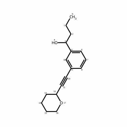 CCCC(O)c1cccc(C#CC2CCCCO2)c1